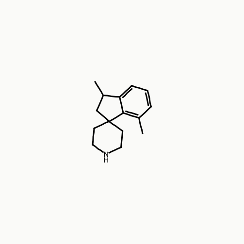 Cc1cccc2c1C1(CCNCC1)CC2C